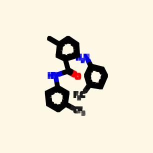 Cc1cccc(C(=O)Nc2cccc(C(F)(F)F)c2)c1.Nc1cccc(C(F)(F)F)c1